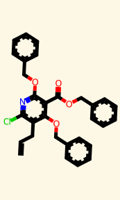 C=CCc1c(Cl)nc(OCc2ccccc2)c(C(=O)OCc2ccccc2)c1OCc1ccccc1